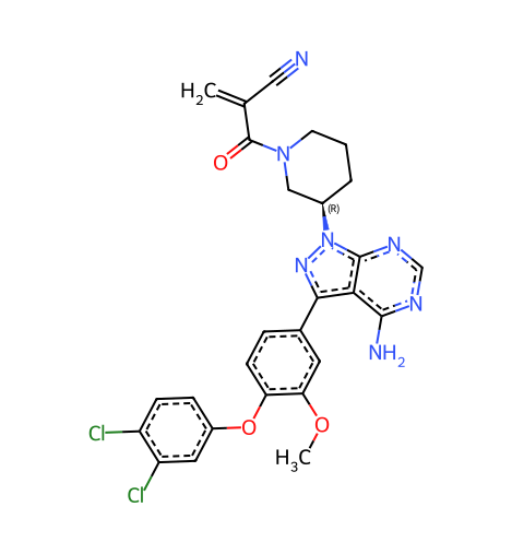 C=C(C#N)C(=O)N1CCC[C@@H](n2nc(-c3ccc(Oc4ccc(Cl)c(Cl)c4)c(OC)c3)c3c(N)ncnc32)C1